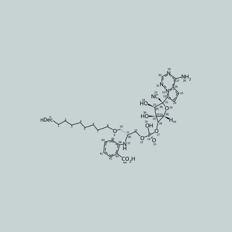 CCCCCCCCCCCCCCCCCCOC[C@H](COP(=O)(O)OC1[C@H]2O[C@@](C#N)(c3ccc4c(N)ncnn34)[C@H](O)[C@@]12O)Nc1ccccc1C(=O)O